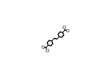 O=C(Cl)c1ccc(C=Cc2ccc(C(=O)Cl)cc2)cc1